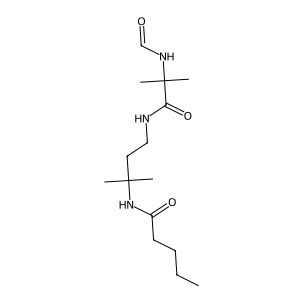 CCCCC(=O)NC(C)(C)CCNC(=O)C(C)(C)NC=O